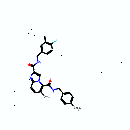 COc1ccc2nc(C(=O)NCc3ccc(F)c(C)c3)cn2c1C(=O)NCc1ccc(C(=O)O)cc1